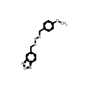 COc1ccc(CSSSCc2ccc3nonc3c2)cc1